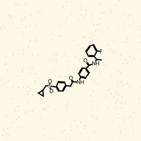 CC(NC(=O)c1ccc(NC(=O)Cc2ccc(S(=O)(=O)CC3CC3)cc2)cc1)c1ccccc1F